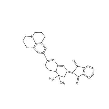 CC1(C)CC(=C2C(=O)c3ccccc3C2=O)C=C2C=C(c3cc4c5c(c3)CCCN5CCC4)CCC21